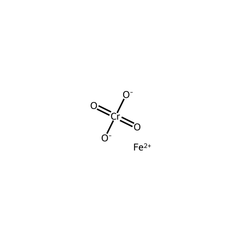 [Fe+2].[O]=[Cr](=[O])([O-])[O-]